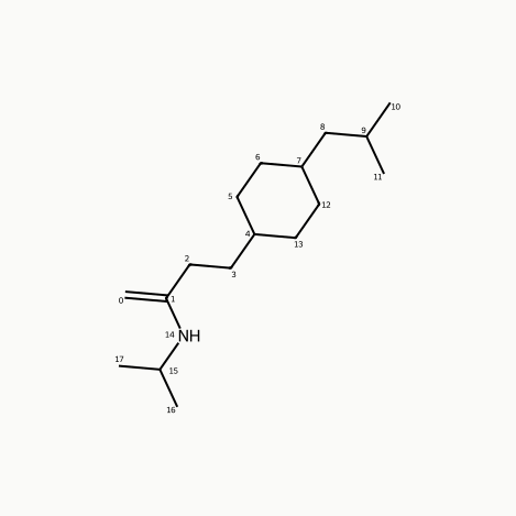 C=C(CCC1CCC(CC(C)C)CC1)NC(C)C